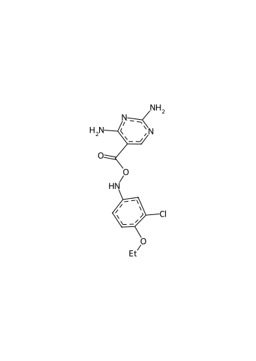 CCOc1ccc(NOC(=O)c2cnc(N)nc2N)cc1Cl